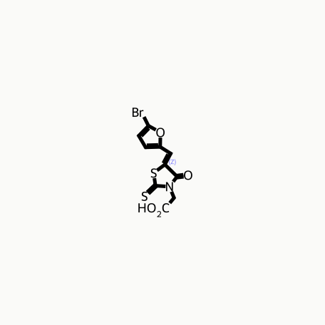 O=C(O)CN1C(=O)/C(=C/c2ccc(Br)o2)SC1=S